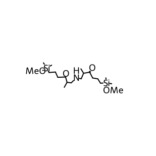 CO[Si](C)(C)CCCC(=O)C(C)CNCC(C)C(=O)CCC[Si](C)(C)OC